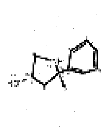 C[C@@]1(c2ccccc2)C[C@H](O)CN1